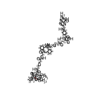 CC(C)[Si](CCCC1C2C=CC1C1C(=O)N(CCC(=O)NCCOCCC(=O)NCCC(=O)N3Cc4ccccc4-c4c(nnn4CCOCCNC(=O)CC[C@H](NC(=O)c4ccc(NCc5cnc6nc(N)[nH]c(=O)c6n5)cc4)C(=O)O)-c4ccccc43)C(=O)C21)(C(C)C)C(C)C